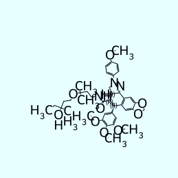 CCC(C)(O)CCOC(C)(C)CCNC(=O)[C@@H]1[C@H](c2cc(OC)c(OC)c(OC)c2)c2cc3c(cc2C2=NN(c4ccc(OC)cc4)C[C@H]21)OCO3